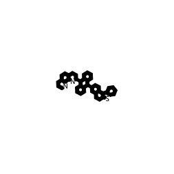 c1cnc2c(c1)ccc1ccc(-c3c4ccccc4c(-c4ccc5c(ccc6sc7ccccc7c65)c4)c4ccccc34)nc12